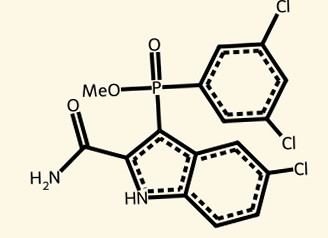 COP(=O)(c1cc(Cl)cc(Cl)c1)c1c(C(N)=O)[nH]c2ccc(Cl)cc12